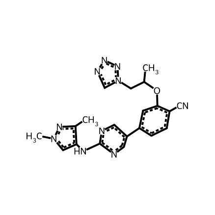 Cc1nn(C)cc1Nc1ncc(-c2ccc(C#N)c(OC(C)Cn3cnnn3)c2)cn1